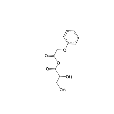 O=C(COc1ccccc1)OC(=O)C(O)CO